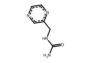 NC(=O)NCc1cnccn1